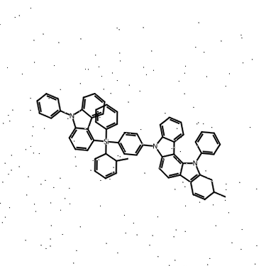 CC1C=Cc2c(n(-c3ccccc3)c3c2ccc2c3c3ccccc3n2-c2ccc([Si](c3ccccc3)(c3cccc4c3c3ccccc3n4-c3ccccc3)C3C=CC=CC3C)cc2)C1